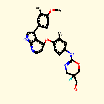 CC(C)Oc1ccc(-c2c[nH]c3nccc(Oc4ccc(NC5=NCC(F)(CO)CO5)cc4C(F)(F)F)c23)cc1C#N